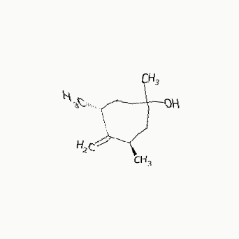 C=C1[C@H](C)CC(C)(O)C[C@H]1C